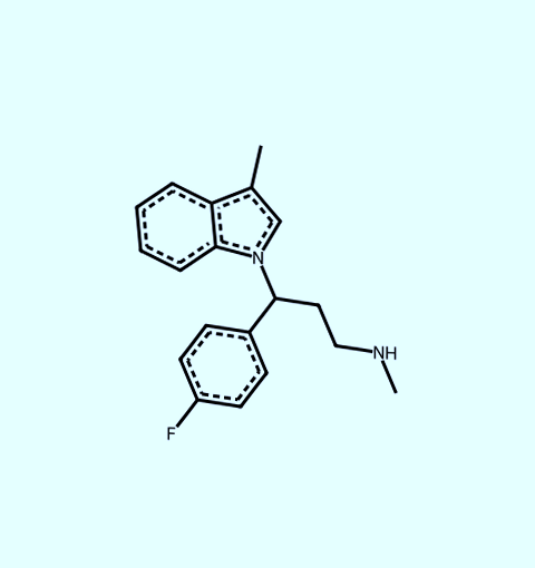 CNCCC(c1ccc(F)cc1)n1cc(C)c2ccccc21